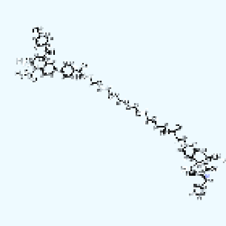 CC(=O)N1c2ccc(-c3ccc(C(=O)NCCOCCOCCOCCOCCOCCNC(=O)CCc4ccc5c(c4)CC(C)N(C(=O)/C(C#N)=C/c4nccs4)C5C)cc3)cc2[C@H](Nc2ccc(Cl)cc2)C[C@@H]1C